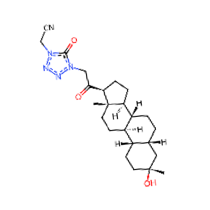 C[C@@]1(O)CC[C@H]2[C@H](CC[C@@H]3[C@@H]2CC[C@]2(C)[C@@H](C(=O)Cn4nnn(CC#N)c4=O)CC[C@@H]32)C1